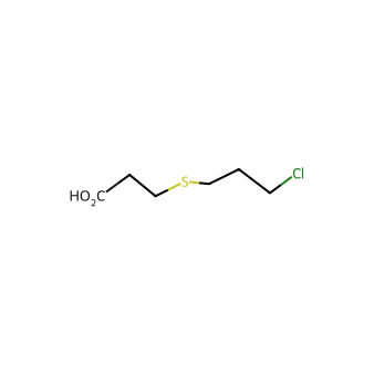 O=C(O)CCSCCCCl